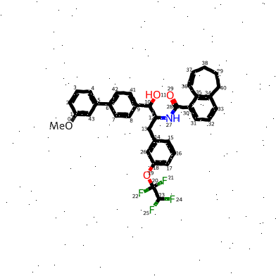 COc1cccc(-c2ccc(C(O)C(Cc3cccc(OC(F)(F)C(F)F)c3)NC(=O)c3cccc4c3C=CCCC4)cc2)c1